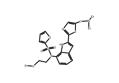 CCOCCN(c1cccc2cc(-c3ncc(CN(CC)CC)s3)[nH]c12)S(=O)(=O)c1cccs1